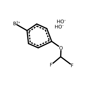 [B+2]c1ccc(OC(F)F)cc1.[OH-].[OH-]